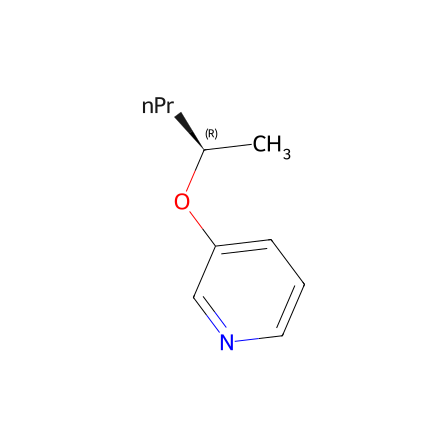 CCC[C@@H](C)Oc1cccnc1